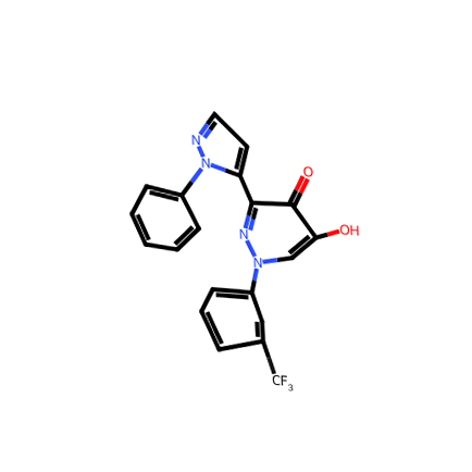 O=c1c(O)cn(-c2cccc(C(F)(F)F)c2)nc1-c1ccnn1-c1ccccc1